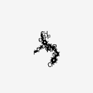 CCNC(=O)c1ccc(-n2cc(C(=O)NCc3ccc(-c4ccc(Cl)cc4)s3)nn2)c(OCCOCCF)c1